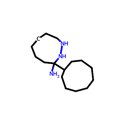 NC1(C2CCCCCCCC2)CCCCCCNN1